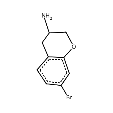 NC1COc2cc(Br)ccc2C1